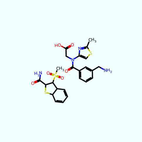 CS(=O)(=O)C1C(C(N)=O)SC2C=CC=CC21.Cc1nc(N(CC(=O)O)C(=O)c2cccc(CN)c2)cs1